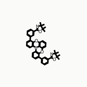 CC1(C)N=C(c2cccc(-c3cccc4c3Oc3cccc5c3B4c3cccc(-c4cccc(C6=NC(C)(C)C(C)(C)O6)c4)c3O5)c2)OC1(C)C